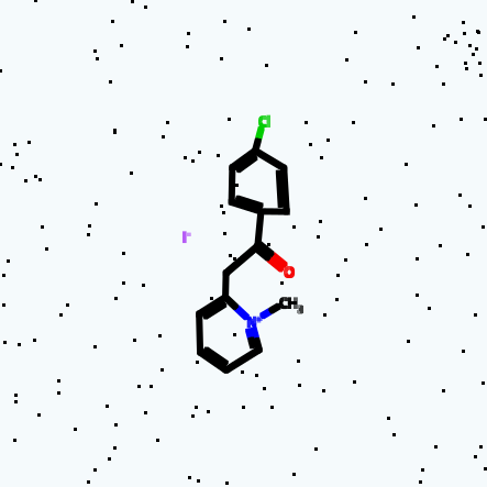 C[n+]1ccccc1CC(=O)c1ccc(Cl)cc1.[I-]